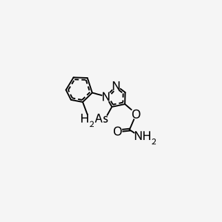 Cc1ccccc1-n1ncc(OC(N)=O)c1[AsH2]